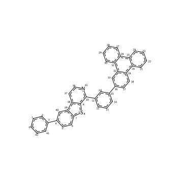 c1ccc(-c2ccc3sc4c(-c5cccc(-c6ccc7c8ccccc8c8ccccc8c7c6)c5)nccc4c3c2)cc1